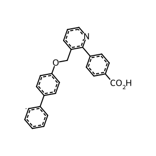 O=C(O)c1ccc(-c2ncccc2COc2ccc(-c3[c]cccc3)cc2)cc1